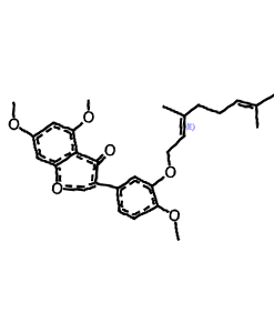 COc1cc(OC)c2c(=O)c(-c3ccc(OC)c(OC/C=C(\C)CCC=C(C)C)c3)coc2c1